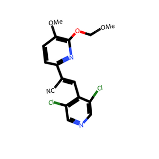 COCOc1nc(C(C#N)=Cc2c(Cl)cncc2Cl)ccc1OC